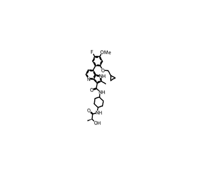 COc1cc(OCC2CC2)c(-c2ccnc3c(C(=O)NC4CCC(NC(=O)[C@H](C)O)CC4)c(C)[nH]c23)cc1F